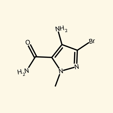 Cn1nc(Br)c(N)c1C(N)=O